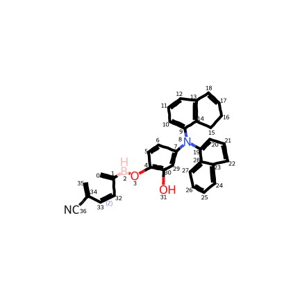 C=C(BOc1ccc(N(c2cccc3c2CCC=C3)c2cccc3ccccc23)cc1O)/C=C\C(=C)C#N